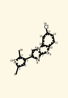 Cc1cc(-c2cn3c(n2)sc2ccc(Cl)cc23)c(C)s1